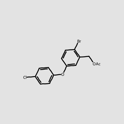 CC(=O)OCc1cc(Oc2ccc(Cl)cc2)ccc1Br